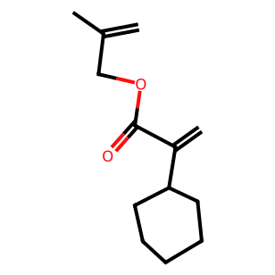 C=C(C)COC(=O)C(=C)C1CCCCC1